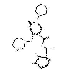 Cc1c([C@@H](C)NC(=O)c2cn(C3CCOCC3)c(=O)cc2NN2CCCCC2)cccc1C(F)(F)F